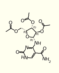 CC(=O)OC[C@H]1O[C@@H](Nc2nc(=O)[nH]cc2C(N)=O)[C@H](OC(C)=O)[C@H]1OC(C)=O